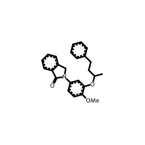 COc1ccc(N2Cc3ccccc3C2=O)cc1OC(C)CCc1ccccc1